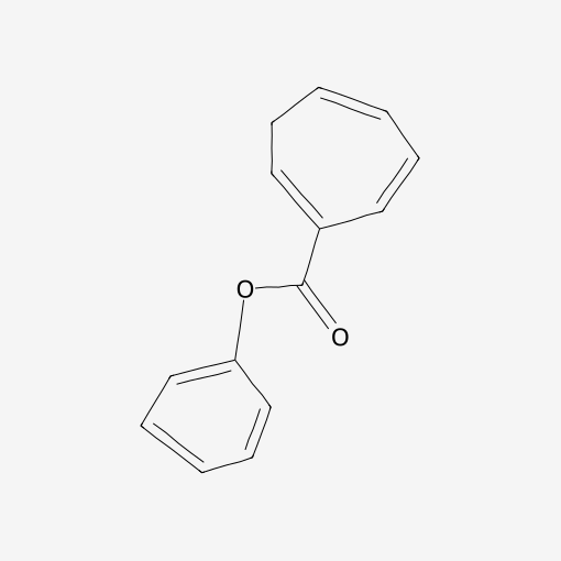 O=C(Oc1ccccc1)C1=CCC=CC=C1